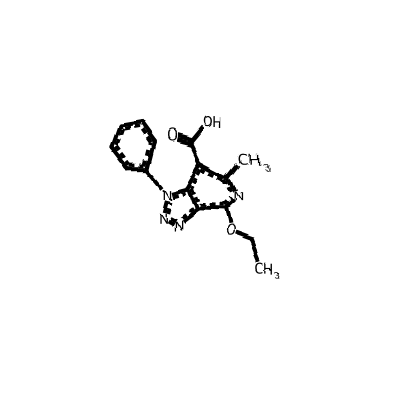 CCOc1nc(C)c(C(=O)O)c2c1nnn2-c1ccccc1